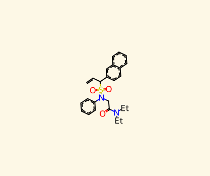 C=CC(c1ccc2ccccc2c1)S(=O)(=O)N(CC(=O)N(CC)CC)c1ccccc1